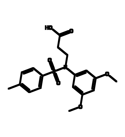 COc1cc(OC)cc(N(CCC(=O)O)S(=O)(=O)c2ccc(C)cc2)c1